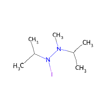 CC(C)N(C)N(I)C(C)C